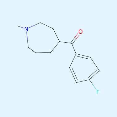 CN1CCCC(C(=O)c2ccc(F)cc2)CC1